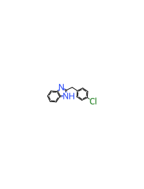 Clc1ccc(Cc2nc3ccccc3[nH]2)cc1